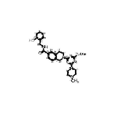 CNc1nc(N2CCN(C)CC2)nc(N2CCc3cc(C(=O)NCc4ccccc4O)ccc3C2)n1